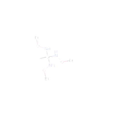 CCON[Si](C)(NOCC)NOCC